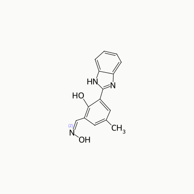 Cc1cc(/C=N\O)c(O)c(-c2nc3ccccc3[nH]2)c1